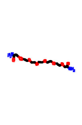 NC(=O)COCCOCCOCCOCCOCCOCC(N)=O